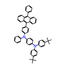 CC(C)(C)c1ccc(N(c2ccc(N(c3ccccc3)c3ccc(-c4c5ccccc5c(-c5ccccc5)c5ccccc45)cc3)cc2)c2ccc(C(C)(C)C)cc2)cc1